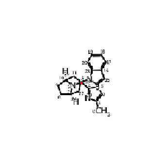 Cc1csc(CN2[C@@H]3CC[C@H]2CC(n2ccc4ccccc42)C3)n1